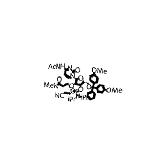 CNC(=O)CCOC1C(OP(OCCC#N)N(C(C)C)C(C)C)[C@@H](COC(c2ccccc2)(c2ccc(OC)cc2)c2ccc(OC)cc2)O[C@H]1n1ccc(NC(C)=O)nc1=O